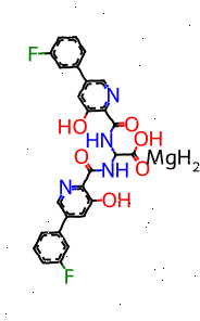 O=C(NC(NC(=O)c1ncc(-c2cccc(F)c2)cc1O)C(=O)O)c1ncc(-c2cccc(F)c2)cc1O.[MgH2]